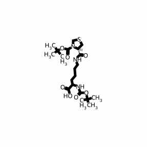 CC(C)(C)OC(=O)NC(CCCCNC(=O)[C@H]1CSCN1C(=O)OC(C)(C)C)C(=O)O